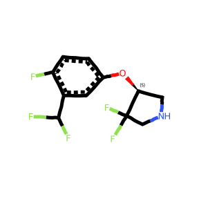 Fc1ccc(O[C@H]2CNCC2(F)F)cc1C(F)F